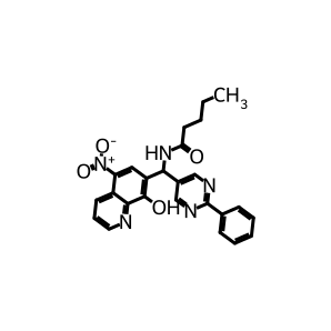 CCCCC(=O)NC(c1cnc(-c2ccccc2)nc1)c1cc([N+](=O)[O-])c2cccnc2c1O